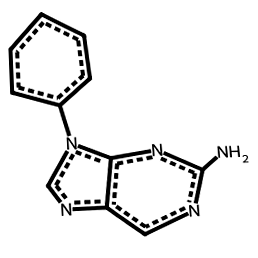 Nc1ncc2ncn(-c3ccccc3)c2n1